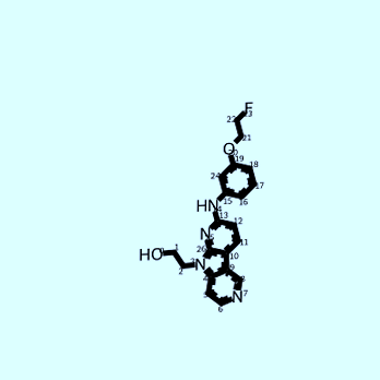 OCCn1c2ccncc2c2ccc(Nc3cccc(OCCF)c3)nc21